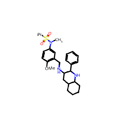 COc1ccc(N(C)S(=O)(=O)C(C)C)cc1CNC1CC2CCCCC2NC1c1ccccc1